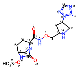 O=C(NOCC1CC(n2ncnn2)CN1)[C@@H]1CCC2CN1C(=O)N2OS(=O)(=O)O